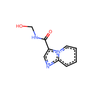 O=C(NCO)c1cnc2ccccn12